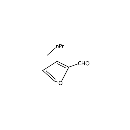 CCCC.O=Cc1ccco1